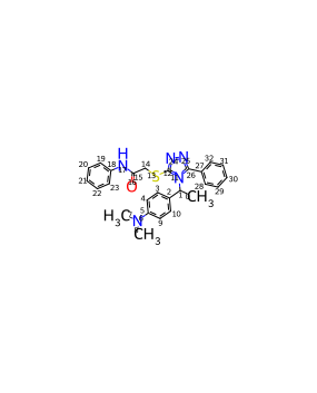 CC(c1ccc(N(C)C)cc1)n1c(SCC(=O)Nc2ccccc2)nnc1-c1ccccc1